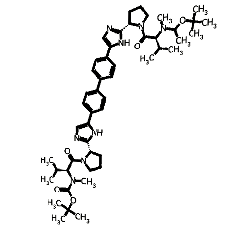 CC(C)[C@@H](C(=O)N1CCC[C@H]1c1ncc(-c2ccc(-c3ccc(-c4cnc([C@@H]5CCCN5C(=O)[C@H](C(C)C)N(C)C(C)OC(C)(C)C)[nH]4)cc3)cc2)[nH]1)N(C)C(=O)OC(C)(C)C